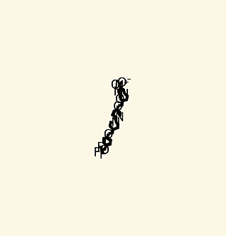 O=[N+]([O-])c1cn2c(n1)OC(COc1ccc(N3CCC(COc4ccc(OC(F)(F)F)cc4)CC3)nc1)CC2